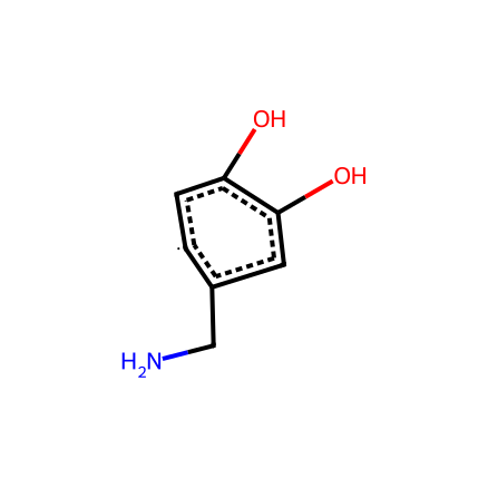 NCc1[c]cc(O)c(O)c1